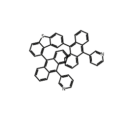 c1cncc(-c2c3ccccc3c(-c3ccc4sc5cccc(-c6c7ccccc7c(-c7cccnc7)c7ccccc67)c5c4c3)c3ccccc23)c1